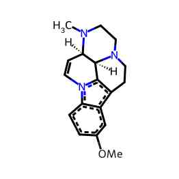 COc1ccc2c(c1)c1c3n2C=C[C@@H]2[C@H]3N(CC1)CCN2C